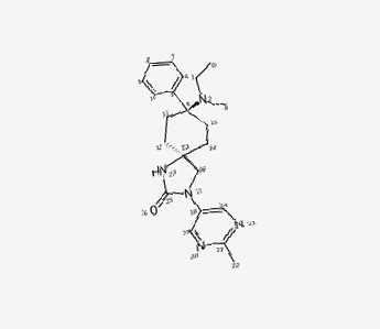 CCN(C)[C@]1(c2ccccc2)CC[C@]2(CC1)CN(c1cnc(C)nc1)C(=O)N2